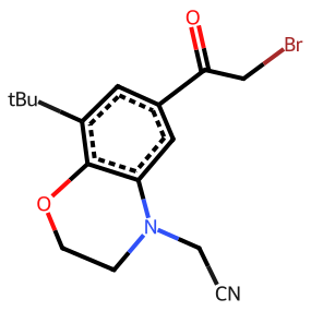 CC(C)(C)c1cc(C(=O)CBr)cc2c1OCCN2CC#N